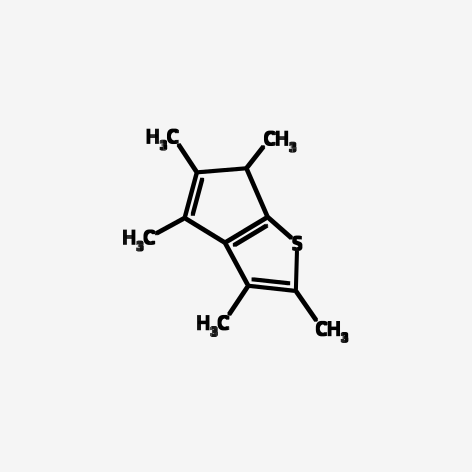 CC1=C(C)C(C)c2sc(C)c(C)c21